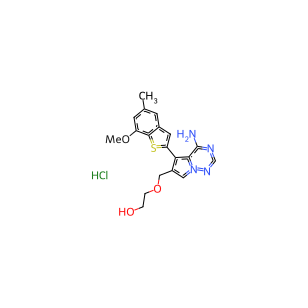 COc1cc(C)cc2cc(-c3c(COCCO)cn4ncnc(N)c34)sc12.Cl